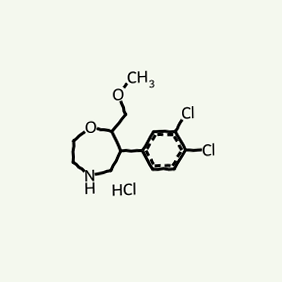 COCC1OCCNCC1c1ccc(Cl)c(Cl)c1.Cl